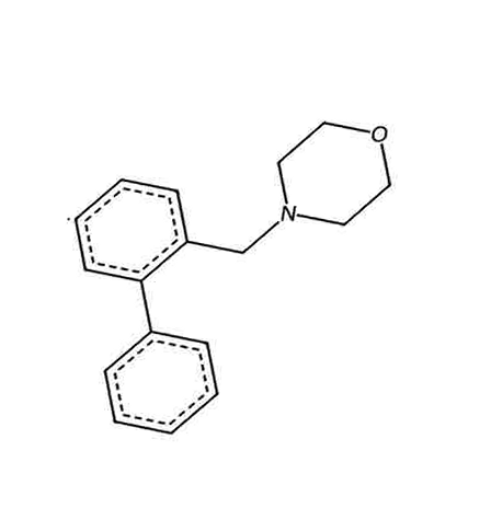 [c]1ccc(CN2CCOCC2)c(-c2ccccc2)c1